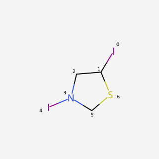 IC1CN(I)CS1